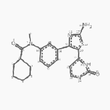 CN(C(=O)C1CCCCC1)c1cccc(-c2nc(N)sc2-c2ccnc(=O)[nH]2)c1